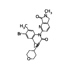 Cc1cc(N(C(=O)C#CC2CCOCC2)c2ccc3c(n2)C(=O)N(C)C3)c(C2CC2)cc1Br